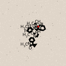 Cc1cc(-n2nc3c(c2-n2ccn(-c4ccc5c(c4)C4(CC4)C(=O)N5C)c2=O)[C@@H]2CCC[C@H](C3)N2C(=O)OC(C)(C)C)cc(C)c1F